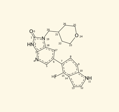 O=c1[nH]c2ncc(-c3ccc4[nH]ccc4c3F)cc2n1CC1CCOCC1